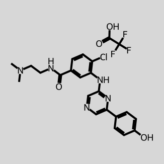 CN(C)CCNC(=O)c1ccc(Cl)c(Nc2cncc(-c3ccc(O)cc3)n2)c1.O=C(O)C(F)(F)F